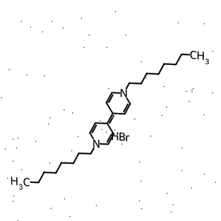 Br.CCCCCCCCN1C=CC(=C2C=CN(CCCCCCCC)C=C2)C=C1